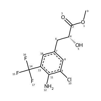 COC(=O)[C@H](O)Cc1cc(Cl)c(N)c(C(F)(F)F)c1